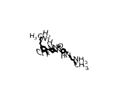 CC[C@H](N)CCNCc1ccc(-n2cc3cc(-c4cc(CCC[C@H](C)N)cc(Cl)c4F)[nH]c3nc2=O)cc1